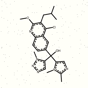 COc1nc2ccc(C(O)(c3cnnn3C)c3cnc(C)n3C)cc2c(Cl)c1CC(C)C